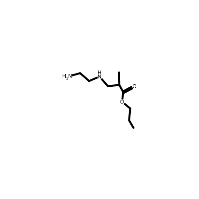 CCCOC(=O)C(C)CNCCN